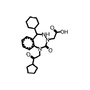 O=C(O)CN1NC(C2CCCCC2)c2ccccc2N(CC(=O)C2CCCC2)C1=O